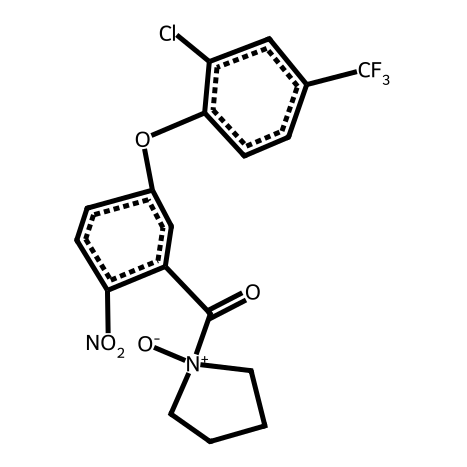 O=C(c1cc(Oc2ccc(C(F)(F)F)cc2Cl)ccc1[N+](=O)[O-])[N+]1([O-])CCCC1